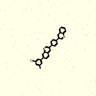 Cc1cc(Cl)cc(-c2ccc3cc(-c4ccc(-c5cnc6ccccc6c5)cc4)cnc3c2)c1